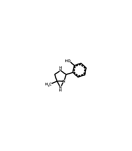 CC12CNC(c3ccccc3O)N1N2